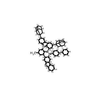 Cc1cc2c3c(c1)-n1c4ccc(C56CC7CC(CC(C7)C5)C6)cc4c4cc(C56CC7CC(CC(C7)C5)C6)cc(c41)B3N(c1ccc(-c3ccccc3)cc1)c1cc3c(cc1-2)sc1ccccc13